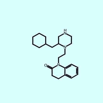 O=C1CCc2ccccc2N1CCN1CCNCC1CC1CCCCC1